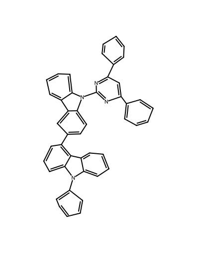 c1ccc(-c2cc(-c3ccccc3)nc(-n3c4ccccc4c4cc(-c5cccc6c5c5ccccc5n6-c5ccccc5)ccc43)n2)cc1